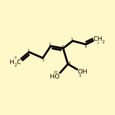 C=CCC=C(CC=C)C(O)O